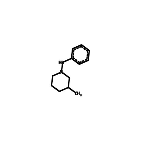 CC1CCCN(Bc2ccccc2)C1